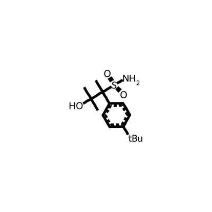 CC(C)(C)c1ccc(C(C)(C(C)(C)O)S(N)(=O)=O)cc1